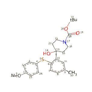 COc1ccc(Sc2ccc(C)cc2C2(O)CCN(C(=O)OC(C)(C)C)CC2)cc1